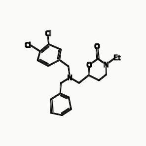 CCN1CCC(CN(Cc2ccccc2)Cc2ccc(Cl)c(Cl)c2)OC1=O